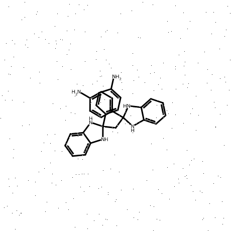 Nc1ccc(C2(CC3(c4ccc(N)cc4)Nc4ccccc4N3)Nc3ccccc3N2)cc1